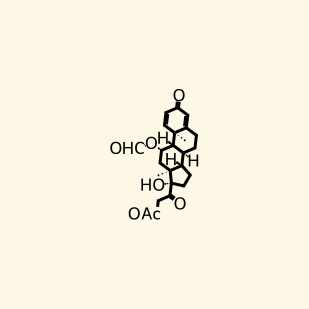 CC(=O)OCC(=O)[C@]1(O)CC[C@H]2[C@@H]3CCC4=CC(=O)C=C[C@]4(C)[C@H]3[C@@H](OC=O)C[C@@]21C